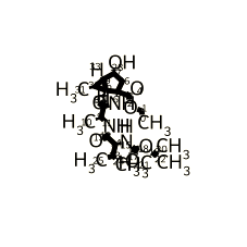 CCOC(=O)[C@]1(NC(=O)[C@H](C)NC(=O)[C@@H](NC(=O)OC(C)(C)C)C(C)C)C[C@H](O)[C@H]2[C@H](C)[C@H]21